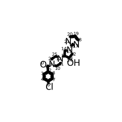 O=C(c1ccc(Cl)cc1)N1CCN(C2CN(c3ncccn3)CC2O)CC1